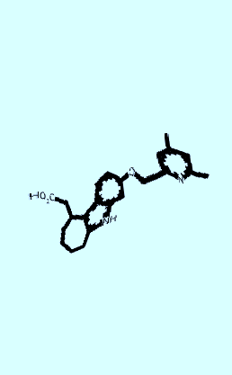 Cc1cc(C)nc(COc2ccc3c4c([nH]c3c2)CCCCC4CC(=O)O)c1